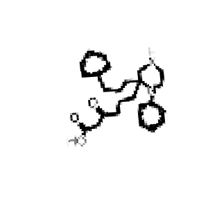 O=C(O)CC(=O)CCCC1(CCCc2ccccc2)CNCCN1c1ccccc1